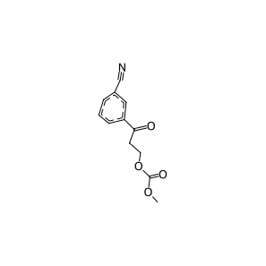 COC(=O)OCCC(=O)c1cccc(C#N)c1